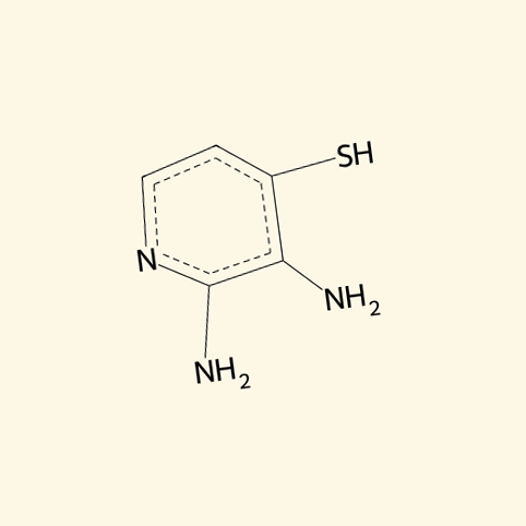 Nc1nccc(S)c1N